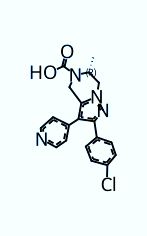 C[C@@H]1Cn2nc(-c3ccc(Cl)cc3)c(-c3ccncc3)c2CN1C(=O)O